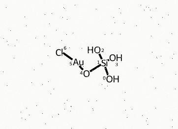 O[Si](O)(O)[O][Au][Cl]